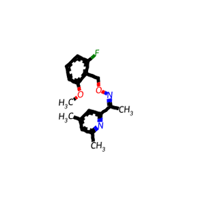 COc1cccc(F)c1CON=C(C)c1cc(C)cc(C)n1